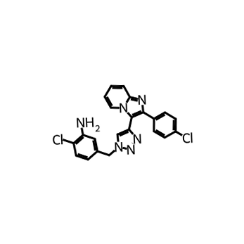 Nc1cc(Cn2cc(-c3c(-c4ccc(Cl)cc4)nc4ccccn34)nn2)ccc1Cl